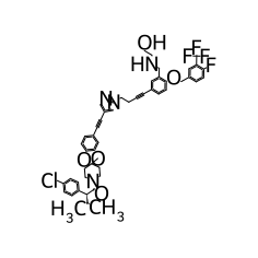 CC(C)[C@H](C(=O)N1CCC2(CC1)Oc1ccc(C#Cc3cnn(CCC#Cc4ccc(OCc5ccc(F)c(C(F)(F)F)c5)c(CNCCO)c4)c3)cc1O2)c1ccc(Cl)cc1